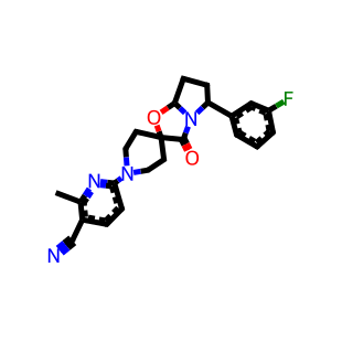 Cc1nc(N2CCC3(CC2)OC2CCC(c4cccc(F)c4)N2C3=O)ccc1C#N